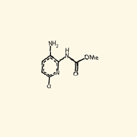 COC(=O)Nc1nc(Cl)ccc1N